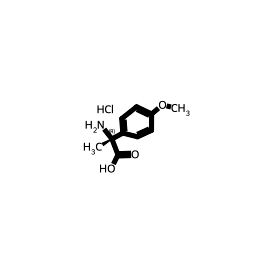 COc1ccc([C@@](C)(N)C(=O)O)cc1.Cl